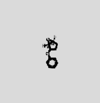 c1ccc(OC2CC[C@@H]3O[C@@H]23)cc1